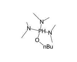 CCCCO[PH](N(C)C)(N(C)C)N(C)C